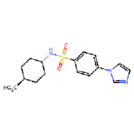 O=C(O)[C@H]1CC[C@H](NS(=O)(=O)c2ccc(-n3ccnc3)cc2)CC1